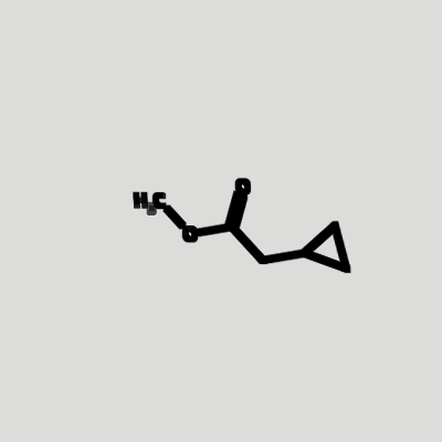 COC(=O)CC1CC1